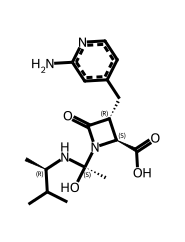 CC(C)[C@@H](C)N[C@](C)(O)N1C(=O)[C@H](Cc2ccnc(N)c2)[C@H]1C(=O)O